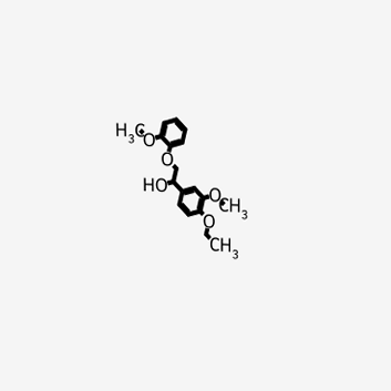 CCOc1ccc(C(O)COc2ccccc2OC)cc1OC